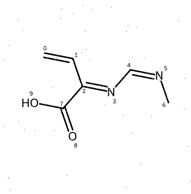 C=C/C(=N\C=N/C)C(=O)O